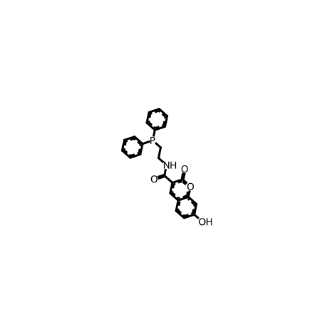 O=C(NCCP(c1ccccc1)c1ccccc1)c1cc2ccc(O)cc2oc1=O